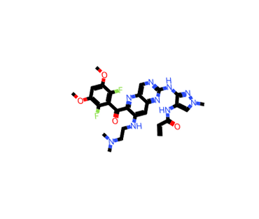 C=CC(=O)Nc1cn(C)nc1Nc1ncc2nc(C(=O)c3c(F)c(OC)cc(OC)c3F)c(NCCN(C)C)cc2n1